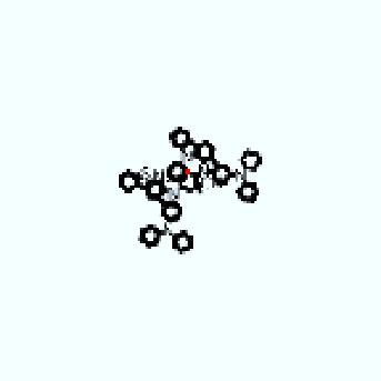 CC1(C#N)C=C(n2c3ccc(N(c4ccccc4)c4ccccc4)cc3c3cc4c(cc32)sc2ccccc24)C(C#N)CC1n1c2ccc(N(c3ccccc3)C3C=CC=CC3)cc2c2ccc3c4ccccc4n(-c4ccccc4)c3c21